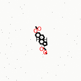 COCC(=O)[C@H]1CC=C2[C@@H]3CCC4CC(OC(C)=O)CC[C@]4(C)[C@H]3CC[C@@]21C